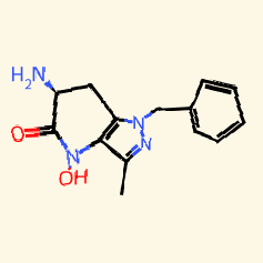 Cc1nn(Cc2ccccc2)c2c1N(O)C(=O)[C@@H](N)C2